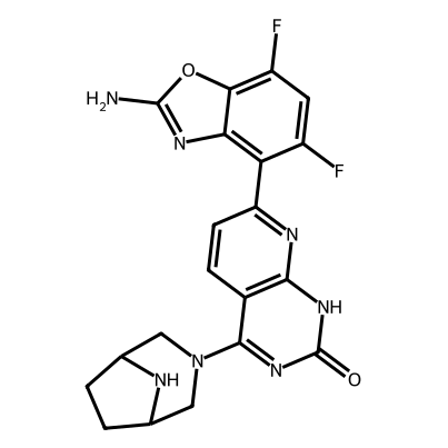 Nc1nc2c(-c3ccc4c(N5CC6CCC(C5)N6)nc(=O)[nH]c4n3)c(F)cc(F)c2o1